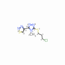 Cn1c(SCCCCl)nnc1-c1csnn1